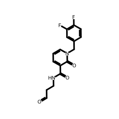 O=CCCNC(=O)c1cccn(Cc2ccc(F)c(F)c2)c1=O